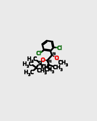 CO[C@@H](c1c(Cl)cccc1Cl)[C@@H](O[Si](C)(C)C(C)(C)C)C(C)C